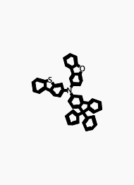 c1ccc(C2(c3ccccc3)c3ccccc3-c3cc(N(c4ccc5c(c4)sc4ccccc45)c4ccc5oc6ccccc6c5c4)ccc32)cc1